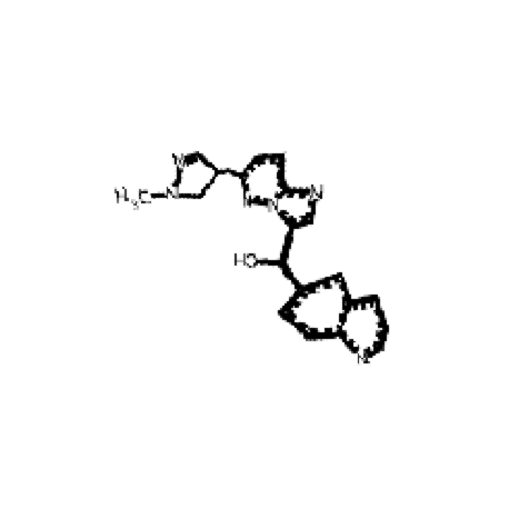 CN1CC(c2ccc3ncc(C(O)c4ccc5ncccc5c4)n3n2)C=N1